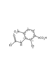 CCC(=O)Nc1c([N+](=O)[O-])ccc(C(=O)O)c1CC